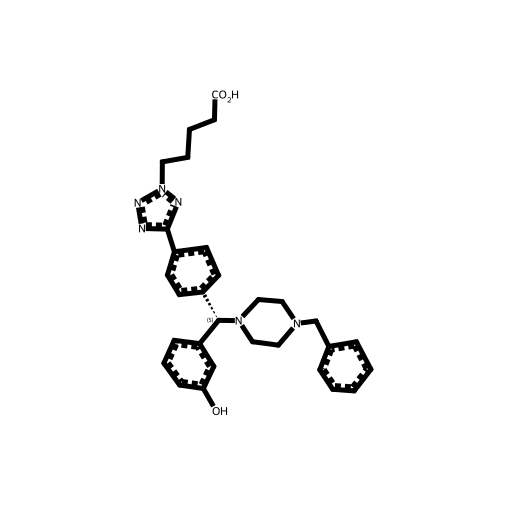 O=C(O)CCCCn1nnc(-c2ccc([C@@H](c3cccc(O)c3)N3CCN(Cc4ccccc4)CC3)cc2)n1